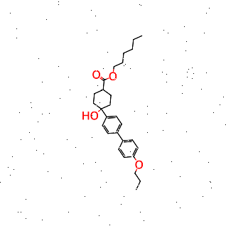 CCCCCCOC(=O)C1CCC(O)(c2ccc(-c3ccc(OCCC)cc3)cc2)CC1